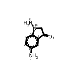 Nc1ccc2c(c1)C(=O)CN2N